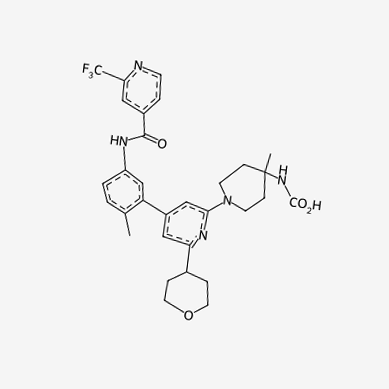 Cc1ccc(NC(=O)c2ccnc(C(F)(F)F)c2)cc1-c1cc(C2CCOCC2)nc(N2CCC(C)(NC(=O)O)CC2)c1